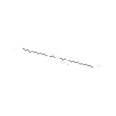 COC(=O)CCCCCCCCCCCNC(=O)C(N)CSSCC(N)C(=O)NCCCCCCCCCCCC(=O)OC